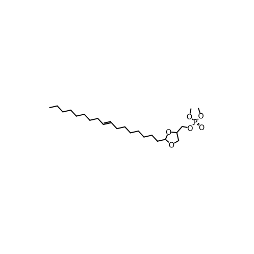 CCCCCCCCC=CCCCCCCCC1OCC(COP(=O)(OC)OC)O1